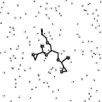 C=CCOCC(COC(CC)C1CO1)OC(CC)C1CO1